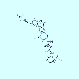 COc1ccccc1NC(=O)CC(=O)Nc1ccc(Oc2ccnc3cc(C#CCN(C)C)sc23)c(F)c1